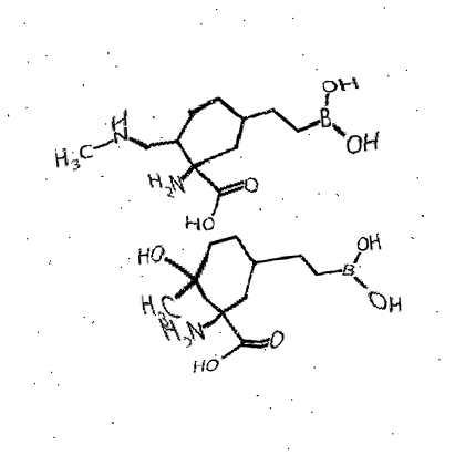 CC1(O)CCC(CCB(O)O)CC1(N)C(=O)O.CNCC1CCC(CCB(O)O)CC1(N)C(=O)O